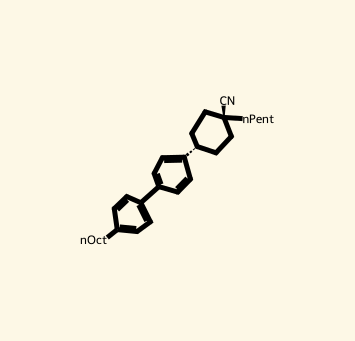 CCCCCCCCc1ccc(-c2ccc([C@H]3CC[C@@](C#N)(CCCCC)CC3)cc2)cc1